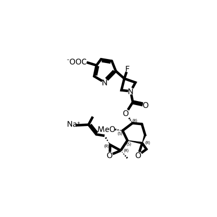 CO[C@@H]1[C@H](OC(=O)N2CC(F)(c3ccc(C(=O)[O-])cn3)C2)CC[C@]2(CO2)[C@H]1[C@@]1(C)O[C@@H]1CC=C(C)C.[Na+]